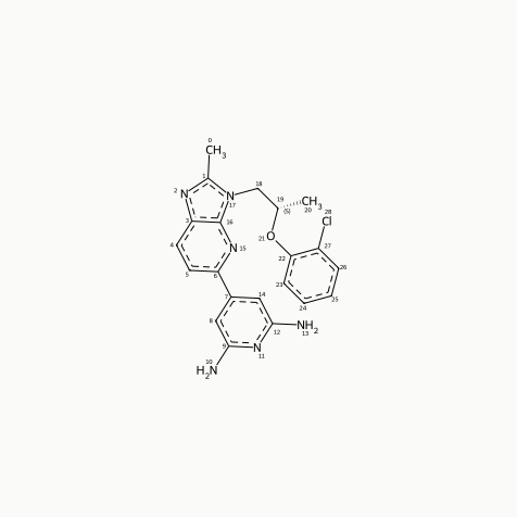 Cc1nc2ccc(-c3cc(N)nc(N)c3)nc2n1C[C@H](C)Oc1ccccc1Cl